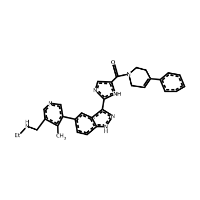 CCNCc1cncc(-c2ccc3[nH]nc(-c4ncc(C(=O)N5CC=C(c6ccccc6)CC5)[nH]4)c3c2)c1C